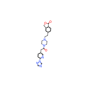 O=C1OCc2cc(CCN3CCN(C(=O)Cc4ccc(-n5cncn5)nc4)CC3)ccc21